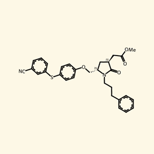 COC(=O)C[C@@H]1C[C@@H](COc2ccc(Sc3cccc(C#N)c3)cc2)N(CCCc2ccccc2)C1=O